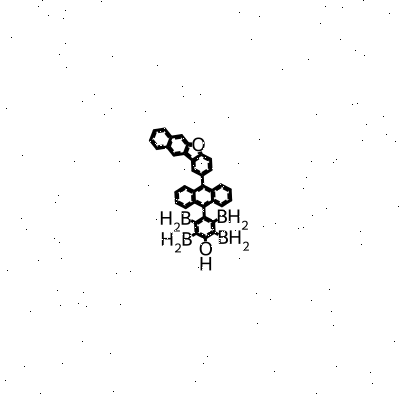 Bc1c(B)c(-c2c3ccccc3c(-c3ccc4oc5cc6ccccc6cc5c4c3)c3ccccc23)c(B)c(B)c1O